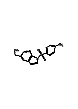 CNCc1cnc2c(ccn2S(=O)(=O)c2ccc(C)cc2)n1